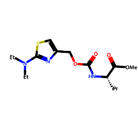 CCN(CC)c1nc(COC(=O)N[C@H](C(=O)OC)C(C)C)cs1